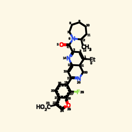 CCC1=CC(C(=O)N2CCCCC[C@H]2C)=NC2=CC(c3ccc4c(C(=O)O)coc4c3F)=NCC12